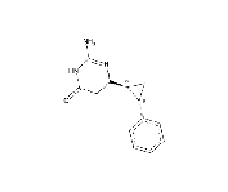 NC1=NC([C@H]2C[C@@H]2c2ccccc2)CC(=O)N1